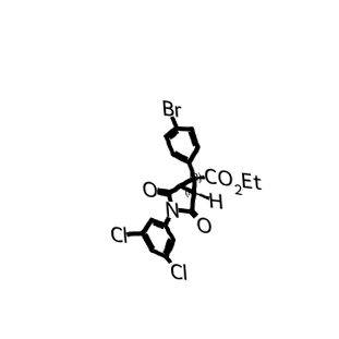 CCOC(=O)[C@]1(c2ccc(Br)cc2)C2C(=O)N(c3cc(Cl)cc(Cl)c3)C(=O)[C@H]21